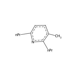 CCCc1ccc(C)c(CCC)n1